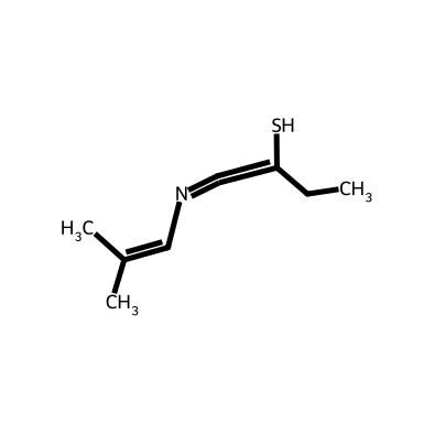 CCC(S)=C=NC=C(C)C